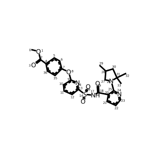 COC(=O)c1ccc(Oc2cccc(S(=O)(=O)NC(=O)c3cccnc3N3CC(C)CC3(C)C)n2)cc1